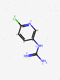 N=C(N)Nc1ccc(Cl)nc1